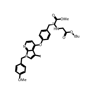 COC(=O)[C@H](Cc1ccc(Oc2ccnc3c2c(I)cn3Cc2ccc(OC)cc2)cc1)NCC(=O)OC(C)(C)C